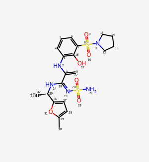 C=C(Nc1cccc(S(=O)(=O)N2CCCC2)c1O)/C(=N\S(N)(=O)=O)N[C@@H](c1ccc(C)o1)C(C)(C)C